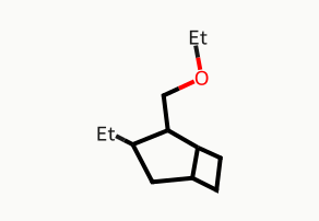 CCOCC1C(CC)CC2CCC21